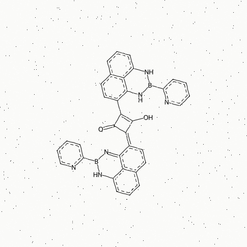 O=C1C(c2ccc3cccc4c3c2NB(c2ccccn2)N4)=C(O)/C1=c1\ccc2cccc3c2c1=NB(c1ccccn1)N3